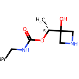 CC(C)CNC(=O)O[C@H](C)C1(O)CNC1